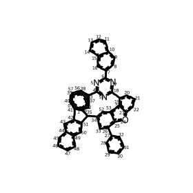 c1ccc(-c2nc(-c3ccc4ccccc4c3)nc(-c3cccc4oc5c(-c6ccccc6)cc(C6c7ccccc7-c7cc8ccccc8cc76)cc5c34)n2)cc1